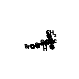 CC(=O)N(c1ccc(C)cc1)c1ccc(NC(=O)C=Cc2ccc(-c3ccc(Br)cc3)o2)cc1C(=O)c1ccccc1